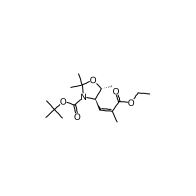 CCOC(=O)/C(C)=C\[C@@H]1[C@@H](C)OC(C)(C)N1C(=O)OC(C)(C)C